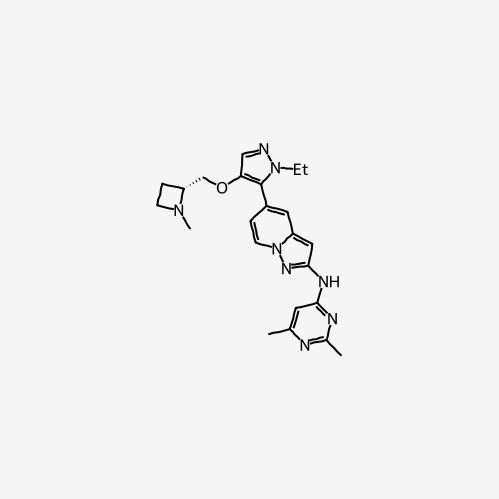 CCn1ncc(OC[C@H]2CCN2C)c1-c1ccn2nc(Nc3cc(C)nc(C)n3)cc2c1